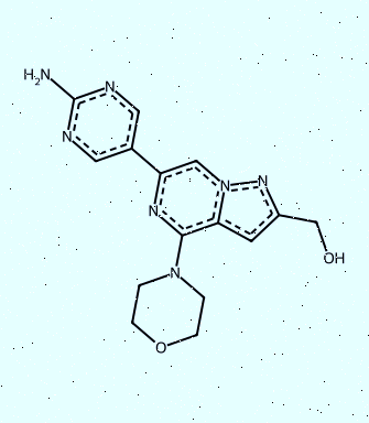 Nc1ncc(-c2cn3nc(CO)cc3c(N3CCOCC3)n2)cn1